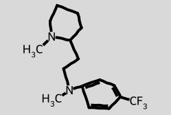 CN(CCC1CCCCN1C)c1ccc(C(F)(F)F)cc1